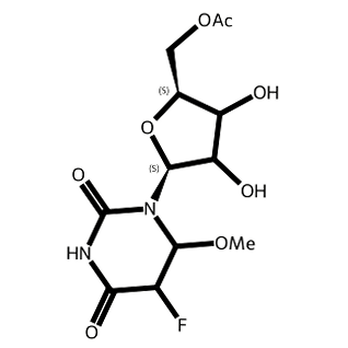 COC1C(F)C(=O)NC(=O)N1[C@H]1O[C@@H](COC(C)=O)C(O)C1O